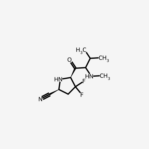 CNC(C(=O)[C@@H]1N[C@H](C#N)CC1(F)F)C(C)C